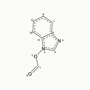 O=COn1cnc2ccccc21